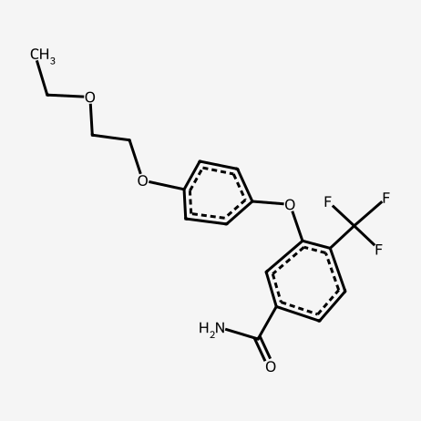 CCOCCOc1ccc(Oc2cc(C(N)=O)ccc2C(F)(F)F)cc1